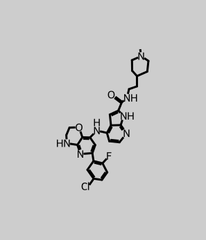 CN1CCC(CCNC(=O)c2cc3c(Nc4cc(-c5cc(Cl)ccc5F)nc5c4OCCN5)ccnc3[nH]2)CC1